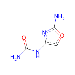 NC(=O)Nc1coc(N)n1